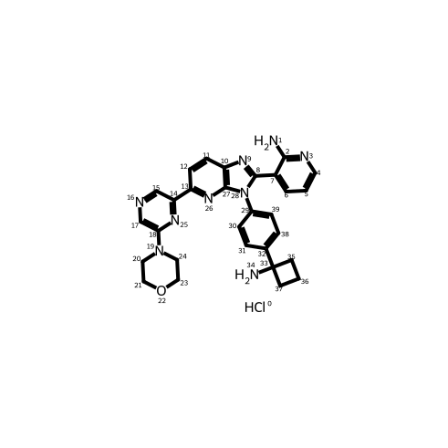 Cl.Nc1ncccc1-c1nc2ccc(-c3cncc(N4CCOCC4)n3)nc2n1-c1ccc(C2(N)CCC2)cc1